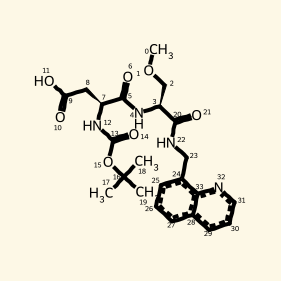 COC[C@H](NC(=O)[C@H](CC(=O)O)NC(=O)OC(C)(C)C)C(=O)NCc1cccc2cccnc12